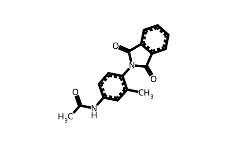 CC(=O)Nc1ccc(N2C(=O)c3ccccc3C2=O)c(C)c1